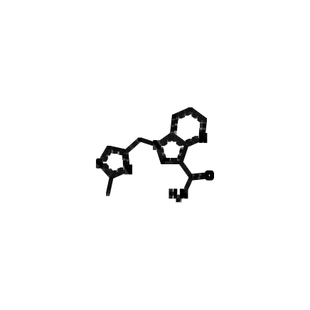 Cc1nc(Cn2cc(C(N)=O)c3ncccc32)cs1